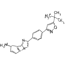 CC(C)(C)c1cc(-c2ccc(-c3cn4c(n3)C3=C4C=CC3N)cc2)no1